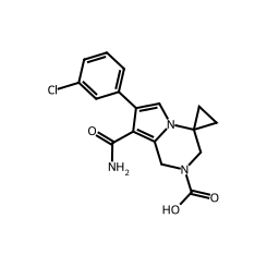 NC(=O)c1c(-c2cccc(Cl)c2)cn2c1CN(C(=O)O)CC21CC1